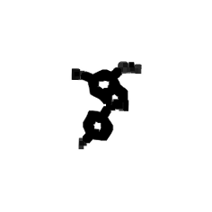 CC(=O)Oc1cc(Br)cc2c1cnn2-c1ccc(F)cc1